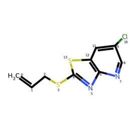 C=CCSc1nc2ncc(Cl)cc2s1